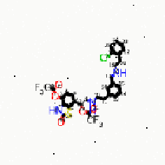 O=C(Oc1ccc([C@H](CNCCc2cccc(CNCCc3ccccc3Cl)c2)OC(=O)C(F)(F)F)c2sc(=O)[nH]c12)C(F)(F)F